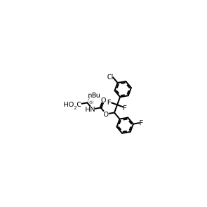 CCCC[C@H](NC(=O)OC(c1cccc(F)c1)C(F)(F)c1cccc(Cl)c1)C(=O)O